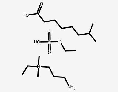 CC(C)CCCCCC(=O)O.CCOS(=O)(=O)O.CC[N+](C)(C)CCCN